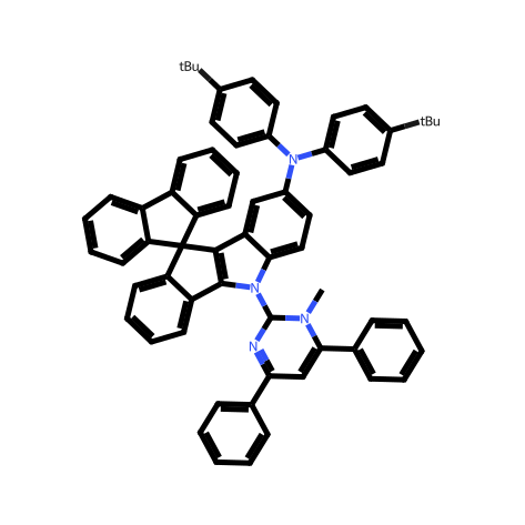 CN1C(c2ccccc2)=CC(c2ccccc2)=NC1n1c2c(c3cc(N(c4ccc(C(C)(C)C)cc4)c4ccc(C(C)(C)C)cc4)ccc31)C1(c3ccccc3-c3ccccc31)c1ccccc1-2